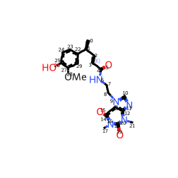 C=C(/C=C/C(=O)NCCn1cnc2c1c(=O)n(C)c(=O)n2C)c1ccc(O)c(OC)c1